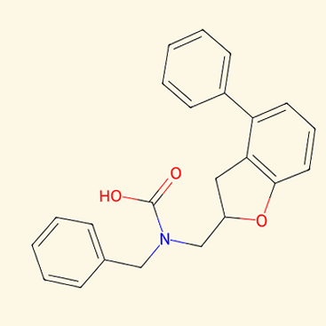 O=C(O)N(Cc1ccccc1)CC1Cc2c(cccc2-c2ccccc2)O1